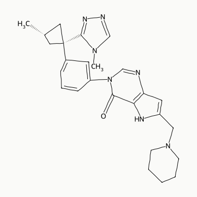 Cn1cnnc1[C@]1(c2cccc(-n3cnc4cc(CN5CCCCC5)[nH]c4c3=O)c2)C[C@H](C)C1